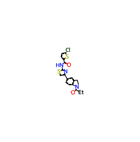 CCC(=O)N1CCc2cc(-c3csc(NC(=O)c4ccc(Cl)s4)n3)ccc21